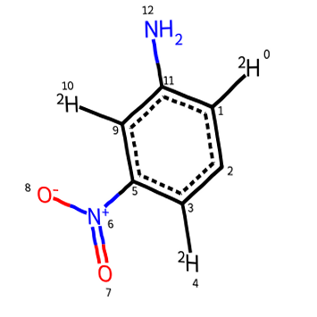 [2H]c1cc([2H])c([N+](=O)[O-])c([2H])c1N